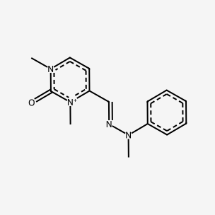 CN(N=Cc1ccn(C)c(=O)[n+]1C)c1ccccc1